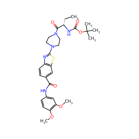 CC[C@H](NC(=O)OC(C)(C)C)C(=O)N1CCN(c2nc3ccc(C(=O)Nc4ccc(OC)c(OC)c4)cc3s2)CC1